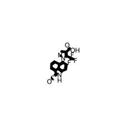 O=C=c1[nH]c2ccc(-n3ncc(C(=O)O)c3C(F)(F)F)c3cccc1c23